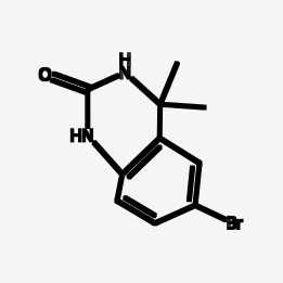 CC1(C)NC(=O)Nc2ccc(Br)cc21